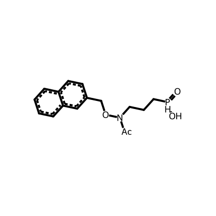 CC(=O)N(CCC[PH](=O)O)OCc1ccc2ccccc2c1